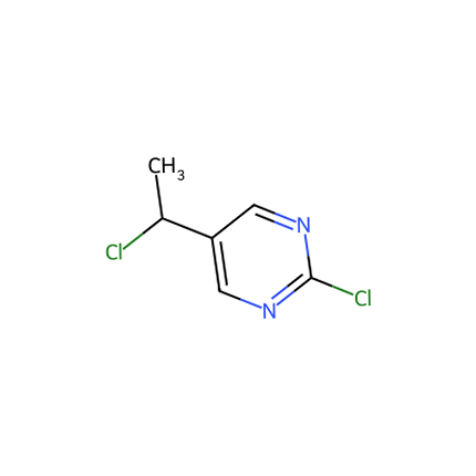 CC(Cl)c1cnc(Cl)nc1